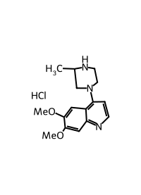 COc1cc2nccc(N3CCNC(C)C3)c2cc1OC.Cl